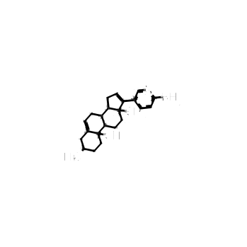 Bc1ccc(C2=CCC3C4CC=C5CC(O)CCC5(C)C4CCC23C)cn1